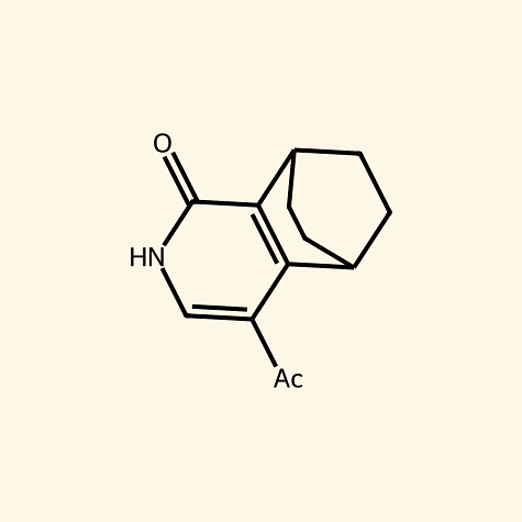 CC(=O)c1c[nH]c(=O)c2c1C1CCC2CC1